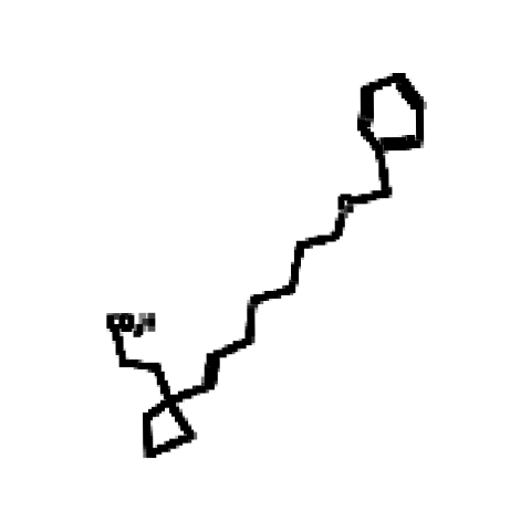 O=C(O)CCC1(/C=C/CCCCCOCc2ccccc2)CCC1